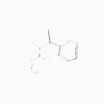 CC(C(=O)NO)C(C)c1ccccc1